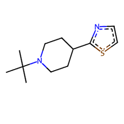 CC(C)(C)N1CCC(c2nccs2)CC1